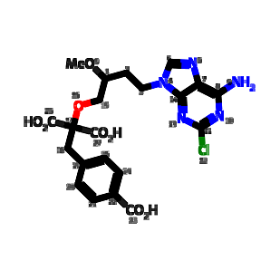 COC(CCn1cnc2c(N)nc(Cl)nc21)COC(Cc1ccc(C(=O)O)cc1)(C(=O)O)C(=O)O